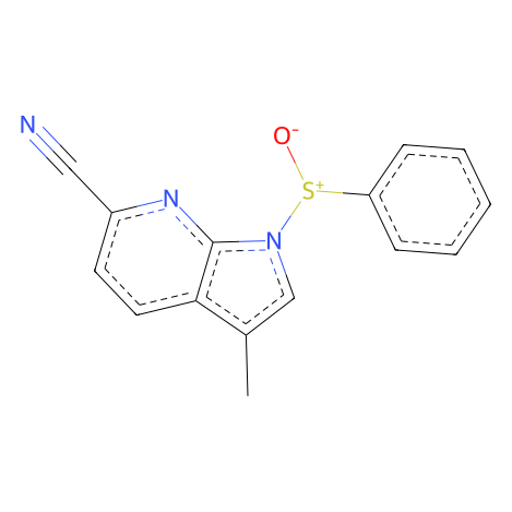 Cc1cn([S+]([O-])c2ccccc2)c2nc(C#N)ccc12